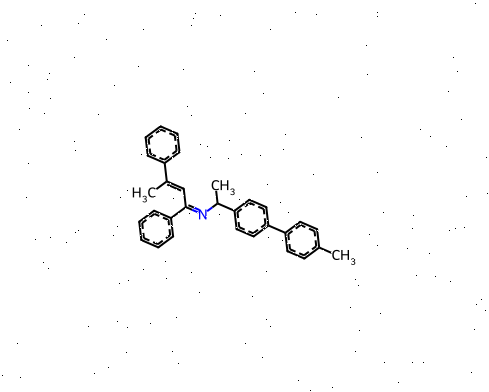 C/C(=C\C(=N/C(C)c1ccc(-c2ccc(C)cc2)cc1)c1ccccc1)c1ccccc1